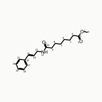 COC(=O)CCCCCCC(=O)NC/C=C/c1ccccc1